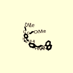 COCCOc1cc2ncnc(Nc3cccc(C4=CN(C5CCCc6ccccc65)NN4)c3)c2cc1OCCOC